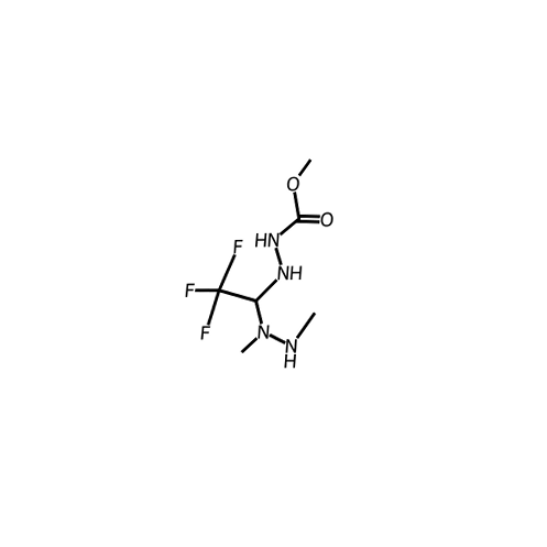 CNN(C)C(NNC(=O)OC)C(F)(F)F